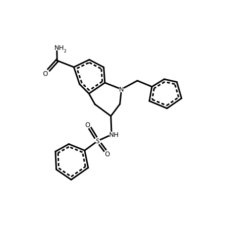 NC(=O)c1ccc2c(c1)CC(NS(=O)(=O)c1ccccc1)CN2Cc1ccccc1